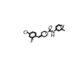 Cc1cc(NC(=O)N2CCC(=Cc3ccc(Cl)cc3F)CC2)ccn1